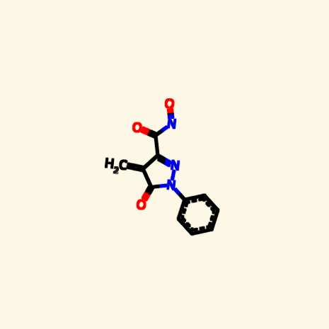 C=C1C(=O)N(c2ccccc2)N=C1C(=O)N=O